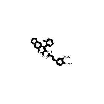 COc1ccc(/C=C/C(=O)Nc2c(-c3ccccc3C)c3cc4c(cc3oc2=O)CCC4)cc1OC